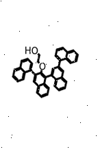 OCCOc1c(-c2cccc3ccccc23)cc2ccccc2c1-c1cc(-c2cccc3ccccc23)cc2ccccc12